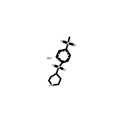 CS(=O)(=O)c1ccc(S(=O)(=O)C2CCNCC2)cc1.Cl